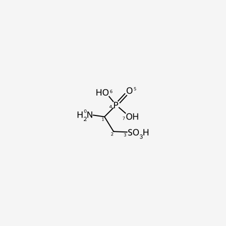 NC(CS(=O)(=O)O)P(=O)(O)O